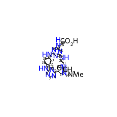 CNCNCCc1ncnc(Nc2ccc(Nc3nc(NCCN(C)C)nc(NCC(=O)O)n3)cc2)n1